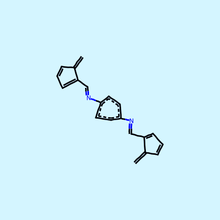 C=C1C=CC=C1/C=N/c1ccc(/N=C/C2=CC=CC2=C)cc1